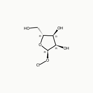 OC[C@H]1O[C@H](OCl)[C@H](O)[C@@H]1O